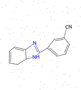 N#Cc1cccc(C2=NC3=CC=CCC3N2)c1